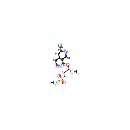 C[C@H](CCS(C)(=O)=O)Oc1nccc2cc(Cl)ncc12